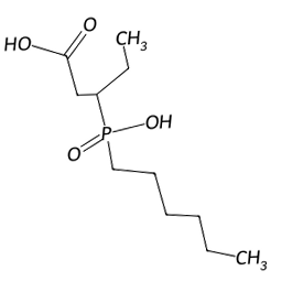 CCCCCCP(=O)(O)C(CC)CC(=O)O